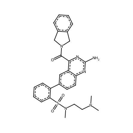 CN(C)CCN(C)S(=O)(=O)c1ccccc1-c1ccc2nc(N)nc(C(=O)N3Cc4ccccc4C3)c2c1